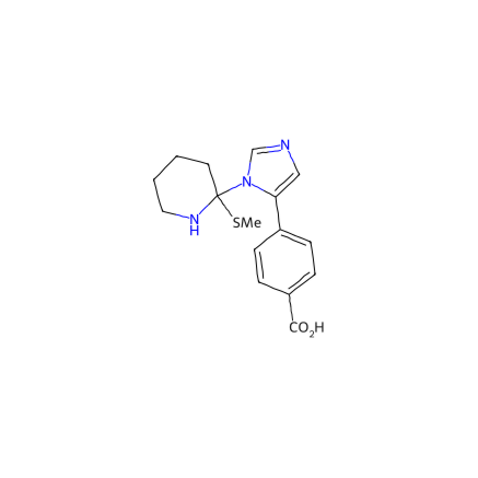 CSC1(n2cncc2-c2ccc(C(=O)O)cc2)CCCCN1